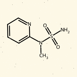 CN(c1ccccn1)S(N)(=O)=O